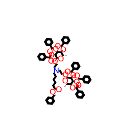 C[C@@H]1O[C@@H](OCCN(CCCCCC(=O)OCc2ccccc2)CCO[C@@H]2O[C@@H](C)[C@@H](OC(=O)c3ccccc3)[C@@H](OC(=O)c3ccccc3)[C@@H]2OC(=O)c2ccccc2)[C@@H](OC(=O)c2ccccc2)[C@H](OC(=O)c2ccccc2)[C@@H]1OC(=O)c1ccccc1